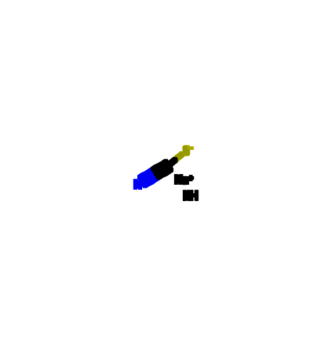 N#C[S-].[KH].[Na+]